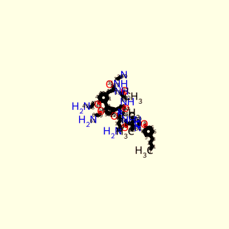 CCCCc1ccc(Oc2nc(C)c(C(=O)NC(CCN)C(=O)N(C)C3C(=O)NC(C)C(=O)NC(C(=O)NCC#N)Cc4ccc(OCCN)c(c4)-c4cc3ccc4OCCN)c(C)n2)cc1